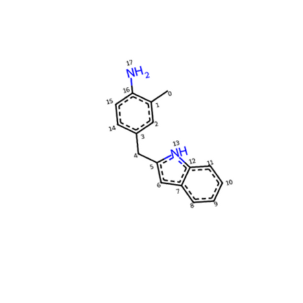 Cc1cc(Cc2cc3ccccc3[nH]2)ccc1N